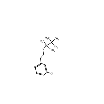 CC(C)(C)[Si](C)(C)OCCc1cc(Cl)ccn1